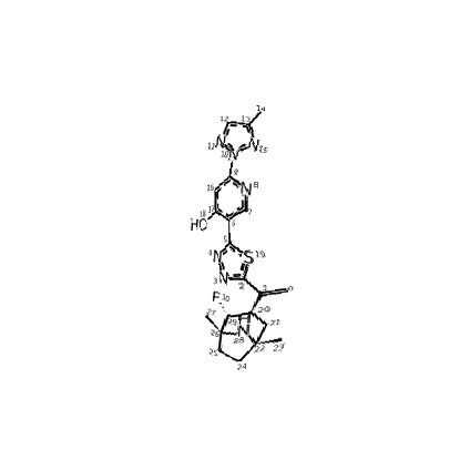 C=C(c1nnc(-c2cnc(-n3ncc(C)n3)cc2O)s1)[C@H]1C[C@]2(C)CC[C@@](C)(N2)[C@@H]1F